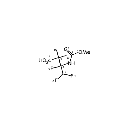 COC(=O)NC(F)(C(F)F)C(C)(C)C(=O)O